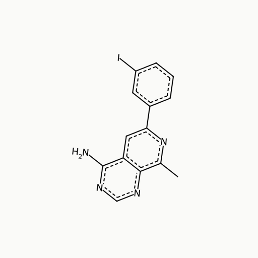 Cc1nc(-c2cccc(I)c2)cc2c(N)ncnc12